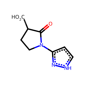 O=C(O)C1CCN(c2cc[nH]n2)C1=O